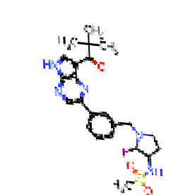 CC(C)(C)C(=O)c1c[nH]c2ncc(-c3cccc(CN4CCC(NS(C)(=O)=O)C4I)c3)nc12